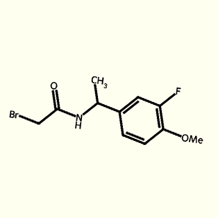 COc1ccc(C(C)NC(=O)CBr)cc1F